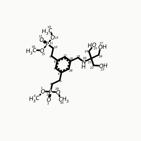 COP(=O)(CCc1cc(CCP(=O)(OC)OC)cc(CNC(CO)(CO)CO)c1)OC